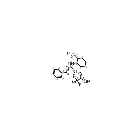 NC1CCCCC1NC(=O)OCc1ccccc1.O=C(O)C(F)(F)F